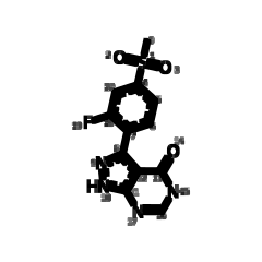 CS(=O)(=O)c1ccc(-c2n[nH]c3c2C(=O)[N]C=N3)c(F)c1